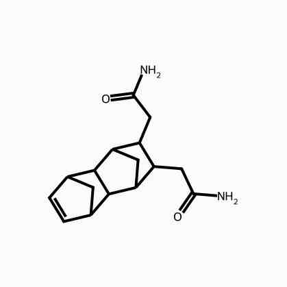 NC(=O)CC1C(CC(N)=O)C2CC1C1C3C=CC(C3)C21